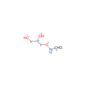 O=CNOCC(O)CO